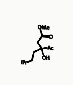 COC(=O)C[C@](O)(CCC(C)C)C(C)=O